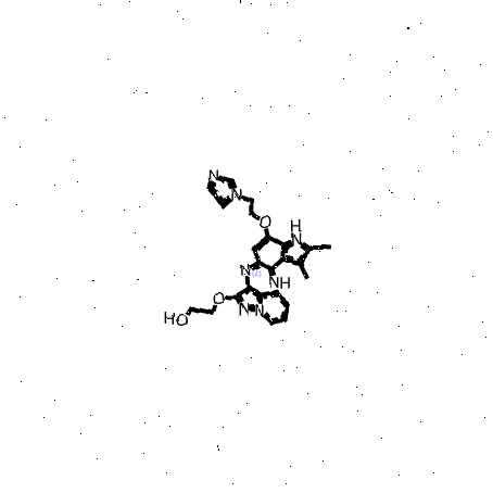 Cc1[nH]c2c(c1C)C(=N)/C(=N\c1c(OCCO)nn3ccccc13)C=C2OCCn1ccnc1